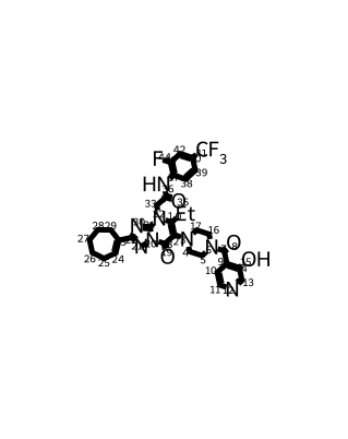 CCc1c(N2CCN(C(=O)c3ccncc3O)CC2)c(=O)n2nc(C3=CCCCCC3)nc2n1CC(=O)Nc1ccc(C(F)(F)F)cc1F